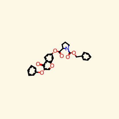 O=C(Oc1ccc2c(=O)c(Oc3ccccc3)coc2c1)C1CCCN1C(=O)OCc1ccccc1